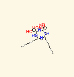 CCCCCCCCCCCCCc1c2nc(c(CCCCCCCCCCCCC)c3ccc([nH]3)c(-c3cccc(O)c3)c3nc(c(-c4cccc(O)c4)c4ccc1[nH]4)[C@@H](O)[C@H]3O)C=C2